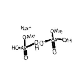 CO[As](=O)(O)O.CO[As](=O)([O-])O.[Na+]